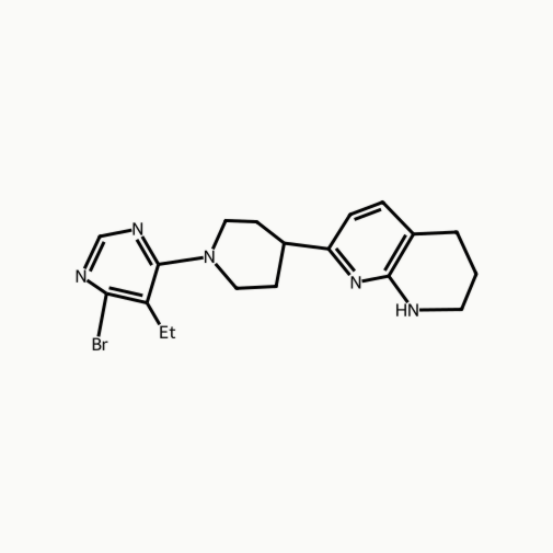 CCc1c(Br)ncnc1N1CCC(c2ccc3c(n2)NCCC3)CC1